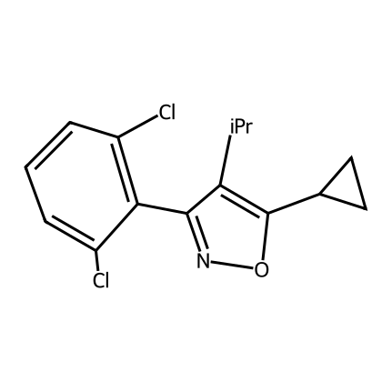 CC(C)c1c(-c2c(Cl)cccc2Cl)noc1C1CC1